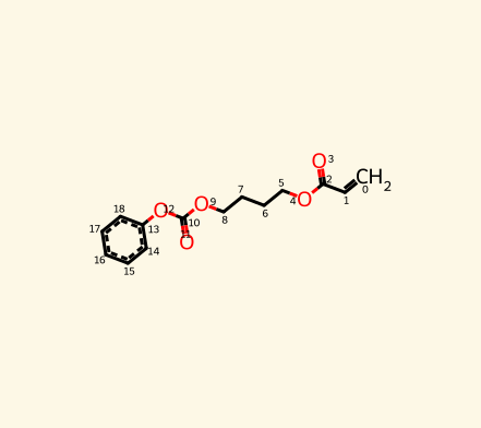 C=CC(=O)OCCCCOC(=O)Oc1ccccc1